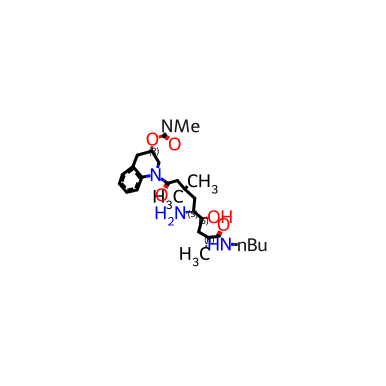 CCCCNC(=O)[C@H](C)C[C@H](O)[C@@H](N)CC(C)(C)CC(=O)N1C[C@H](OC(=O)NC)Cc2ccccc21